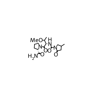 COC(C)[C@H](NC(=O)N1CC(C)CC1=O)C(=O)N1CCC[C@H]1C(N)=O